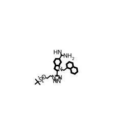 CC(C)(C)[Si](C)(C)OCCn1nnnc1-c1cc2ccc(C(=N)N)cc2n1Cc1cccc2ccccc12